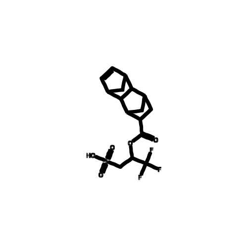 O=C(OC(CS(=O)(=O)O)C(F)(F)F)C1CC2CC1C1C3C=CC(C3)C21